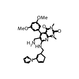 COc1cc(OC)cc(-c2c(CN)c(NCC3C=C(n4cccc4)C=CC3)nc3c2c(=O)n(C)c(=O)n3C)c1